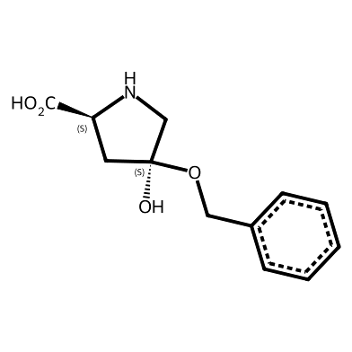 O=C(O)[C@@H]1C[C@](O)(OCc2ccccc2)CN1